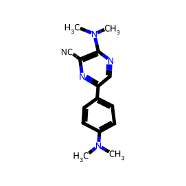 CN(C)c1ccc(-c2cnc(N(C)C)c(C#N)n2)cc1